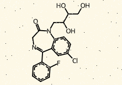 O=C1CN=C(c2ccccc2F)c2cc(Cl)ccc2N1CC(O)C(O)CO